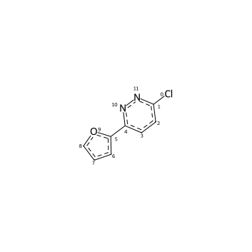 Clc1ccc(-c2ccco2)nn1